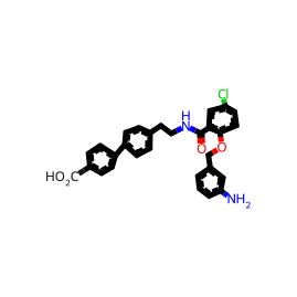 Nc1cccc(COc2ccc(Cl)cc2C(=O)NCCc2ccc(-c3ccc(C(=O)O)cc3)cc2)c1